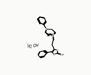 Cl.Cl.O=c1oc(CCN2CCN(c3ccccc3)CC2)c(-c2ccccc2)o1